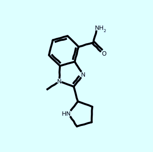 Cn1c(C2CCCN2)nc2c(C(N)=O)cccc21